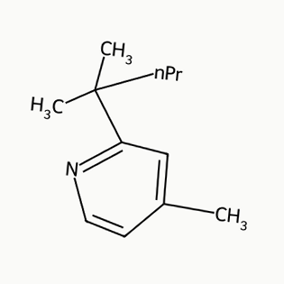 CCCC(C)(C)c1cc(C)ccn1